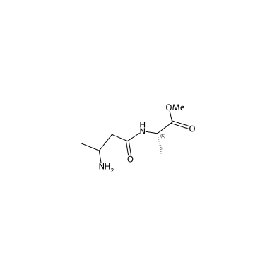 COC(=O)[C@H](C)NC(=O)CC(C)N